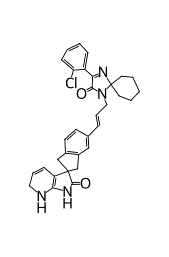 O=C1C(c2ccccc2Cl)=NC2(CCCCC2)N1C/C=C/c1ccc2c(c1)CC1(C2)C(=O)NC2=C1C=CCN2